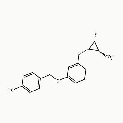 O=C(O)[C@@H]1[C@@H](I)[C@H]1OC1=CC(OCc2ccc(C(F)(F)F)cc2)=CCC1